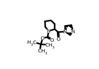 CC(C)(C)OC(=O)N1CCCCC1C(=O)n1ccnc1